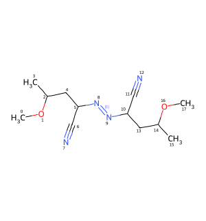 COC(C)CC(C#N)/N=N/C(C#N)CC(C)OC